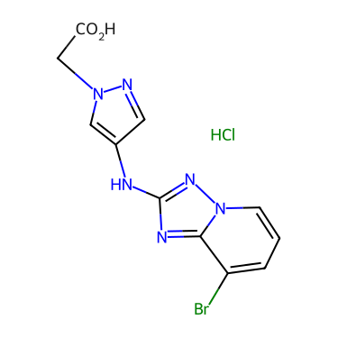 Cl.O=C(O)Cn1cc(Nc2nc3c(Br)cccn3n2)cn1